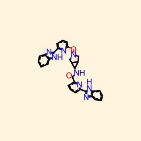 O=C(NC1C2CN(Oc3cccc(-c4nc5ccccc5[nH]4)n3)CC21)c1cccc(-c2nc3ccccc3[nH]2)n1